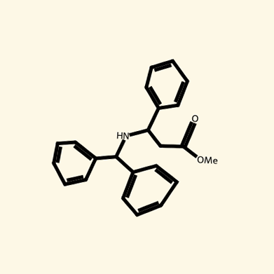 COC(=O)CC(NC(c1ccccc1)c1ccccc1)c1ccccc1